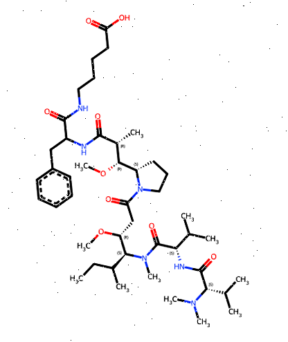 CCC(C)[C@@H]([C@@H](CC(=O)N1CCC[C@H]1[C@H](OC)[C@@H](C)C(=O)NC(Cc1ccccc1)C(=O)NCCCCC(=O)O)OC)N(C)C(=O)[C@@H](NC(=O)[C@H](C(C)C)N(C)C)C(C)C